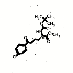 COC(=O)[C@@H](CCCC(=O)c1ccc(Cl)cc1)NC(=O)OC(C)(C)C